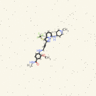 CNC(=O)c1ccc(NCC#Cc2nn3c(NC4CCN(C)CC4)cccc3c2SC(F)(F)F)c(OC)c1